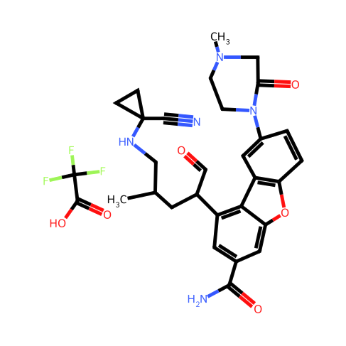 CC(CNC1(C#N)CC1)CC(C=O)c1cc(C(N)=O)cc2oc3ccc(N4CCN(C)CC4=O)cc3c12.O=C(O)C(F)(F)F